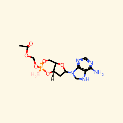 B[PH]1(OCOC(C)=O)OCC2OC(N3CNc4c(N)ncnc43)C[C@@H]2O1